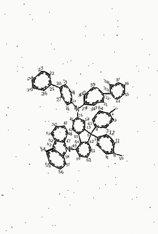 Cc1ccc(C2(c3ccc(C)cc3)c3cc(N(c4ccc(-c5ccccc5)cc4)c4ccc(-c5ccccc5)cc4)ccc3-c3c(-n4c5ccccc5c5ccccc54)cccc32)cc1